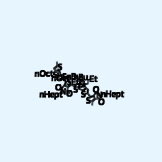 CCCCCCCC[Si]1(CCCCCCCC)c2cc(C)sc2-c2sc(-c3sc(-c4cc5c(s4)-c4sc(-c6sc(C)c7c6C(=O)N(CCCCCCC)C7=O)cc4[Si]5(CC(CC)CCCC)CC(CC)CCCC)c4c3C(=O)N(CCCCCCC)C4=O)cc21